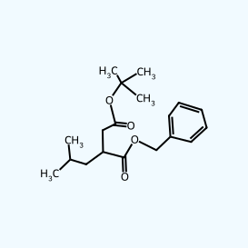 CC(C)CC(CC(=O)OC(C)(C)C)C(=O)OCc1ccccc1